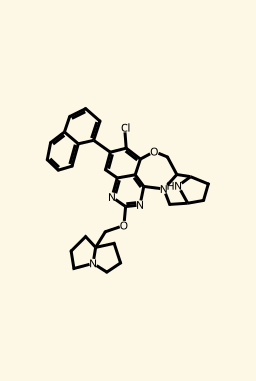 Clc1c(-c2cccc3ccccc23)cc2nc(OCC34CCCN3CCC4)nc3c2c1OCC1C2CCC(CN31)N2